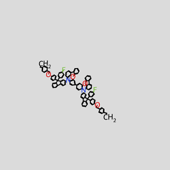 C=Cc1ccc(COc2ccc(C3(c4ccc(F)cc4)c4ccccc4-c4ccc(N(c5ccc(-c6ccc(N(c7ccc8c(c7)C(c7ccc(F)cc7)(c7ccc(OCc9ccc(C=C)cc9)cc7)c7ccccc7-8)c7cccc8c7oc7ccccc78)cc6)cc5)c5cccc6c5oc5ccccc56)cc43)cc2)cc1